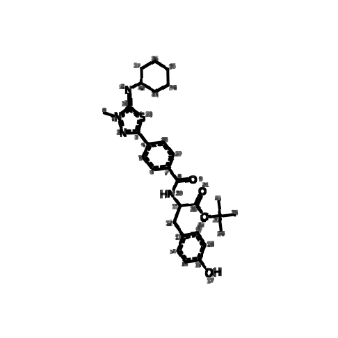 Cn1nc(-c2ccc(C(=O)NC(Cc3ccc(O)cc3)C(=O)OC(C)(C)C)cc2)sc1=NC1CCCCC1